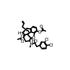 C=CCN1CC[C@]23c4c5ccc(OC(C)=O)c4O[C@H]2[C@H](N(C)C(=O)Cc2ccc(Cl)c(Cl)c2)CC[C@@]3(OC(C)=O)[C@H]1C5